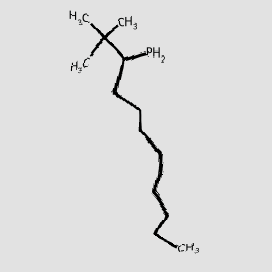 CCCCCCCCC(P)C(C)(C)C